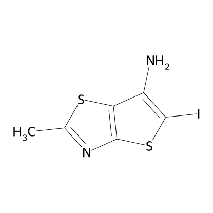 Cc1nc2sc(I)c(N)c2s1